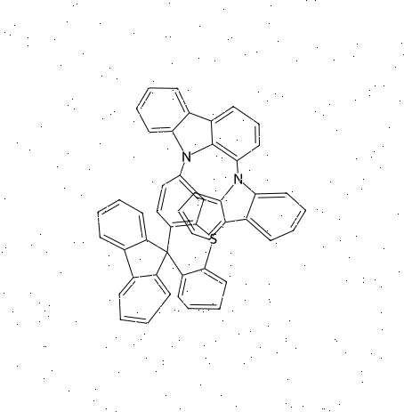 c1ccc2c(c1)Sc1cc(-n3c4ccccc4c4cccc(-n5c6ccccc6c6ccccc65)c43)ccc1C21c2ccccc2-c2ccccc21